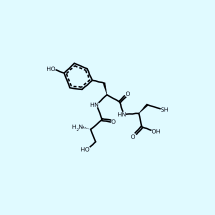 N[C@@H](CO)C(=O)N[C@@H](Cc1ccc(O)cc1)C(=O)N[C@@H](CS)C(=O)O